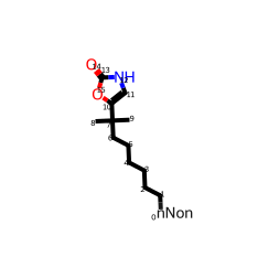 CCCCCCCCCCCCCCCC(C)(C)c1c[nH]c(=O)o1